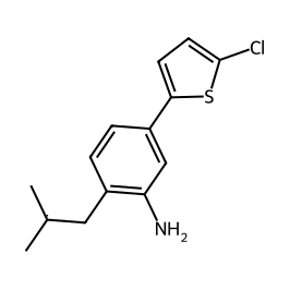 C[C](C)Cc1ccc(-c2ccc(Cl)s2)cc1N